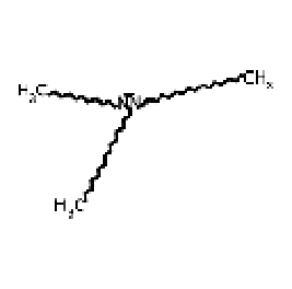 CCCCCCCCCCCCCCCCCN1C=CN(CCCCCCCCCCCC)C1CCCCCCCCCCCCCCCC